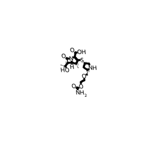 C[C@@H](O)[C@H]1C(=O)N2C(C(=O)O)=C(S[C@@H]3CN[C@H](COCCOC(N)=O)C3)[C@H](C)[C@H]12